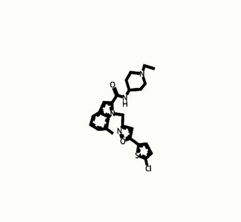 CCN1CCC(NC(=O)c2cc3cccc(C)c3n2Cc2cc(-c3ccc(Cl)s3)on2)CC1